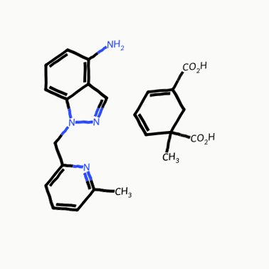 CC1(C(=O)O)C=CC=C(C(=O)O)C1.Cc1cccc(Cn2ncc3c(N)cccc32)n1